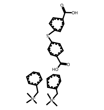 C[N+](C)(C)Cc1ccccc1.C[N+](C)(C)Cc1ccccc1.O=C(O)c1ccc(Sc2ccc(C(=O)O)cc2)cc1